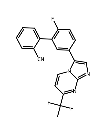 CC(F)(F)c1ccn2c(-c3ccc(F)c(-c4ccccc4C#N)c3)cnc2n1